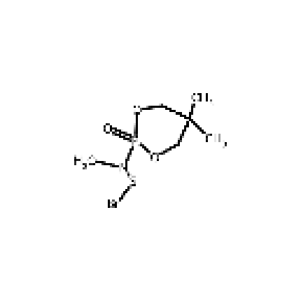 CN(SBr)P1(=O)OCC(C)(C)CO1